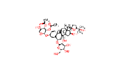 CC(=O)O[C@@H]1[C@@H](OC(C)=O)[C@H](O[C@H]2CC[C@]34C[C@@]35CC[C@]3(C)[C@@H]([C@@]6(C)CC[C@@H](C(C)(C)O)O6)[C@@H](O)C[C@@]3(C)[C@@H]5C[C@H](O[C@@H]3O[C@H](CO)[C@@H](O)[C@H](O)[C@H]3O)C4C2)OC[C@H]1O